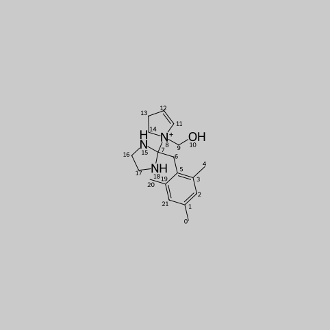 Cc1cc(C)c(CC2([N+]3(CO)C=CCC3)NCCN2)c(C)c1